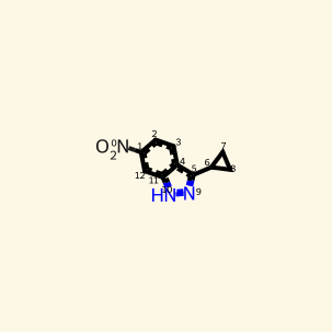 O=[N+]([O-])c1ccc2c(C3CC3)n[nH]c2c1